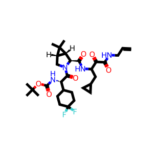 C=CCNC(=O)C(=O)C(CC1CC1)NC(=O)[C@@H]1[C@@H]2[C@H](CN1C(=O)[C@@H](NC(=O)OC(C)(C)C)C1CCC(F)(F)CC1)C2(C)C